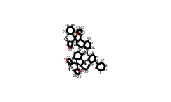 c1ccc(-c2ccc(N(c3cccc4c3-c3ccccc3C43c4ccccc4Oc4ccccc43)c3cccc4c5c(ccc34)C3(c4ccccc4Sc4ccccc43)c3ccccc3-5)cc2)cc1